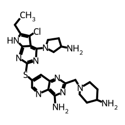 CCc1[nH]c2nc(Sc3cnc4c(N)nc(CN5CCC(N)CC5)nc4c3)nc(N3CCC(N)C3)c2c1Cl